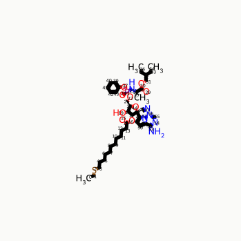 CCSCCCCCCCCCCCC(=O)O[C@@H]1[C@H](O)[C@@H](COP(=O)(N[C@H](C)C(=O)OCC(CC)CC)Oc2ccccc2)O[C@@]1(C#N)c1ccc2c(N)ncnn12